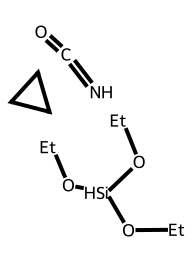 C1CC1.CCO[SiH](OCC)OCC.N=C=O